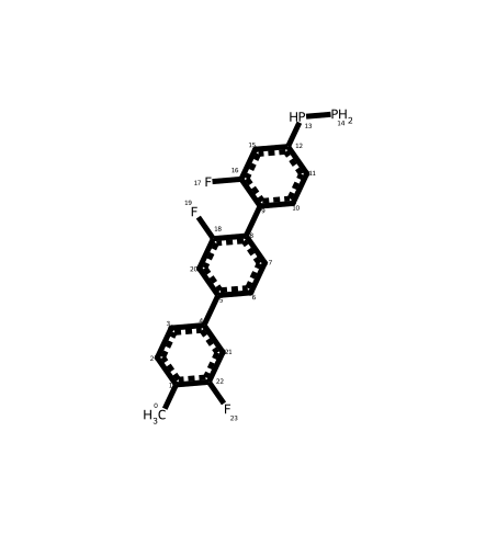 Cc1ccc(-c2ccc(-c3ccc(PP)cc3F)c(F)c2)cc1F